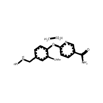 CCCNCc1ccc(Oc2ccc(C(N)=O)cn2)c(OC)c1.CS(=O)(=O)O